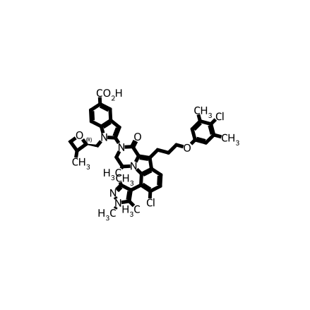 Cc1cc(OCCCc2c3n(c4c(-c5c(C)nn(C)c5C)c(Cl)ccc24)C(C)CN(c2cc4cc(C(=O)O)ccc4n2C[C@@H]2OCC2C)C3=O)cc(C)c1Cl